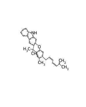 C=C(C)/C=C\C=C/Cc1cc2c(cc1C)C(C)(C)c1cc3c(cc1O2)[nH]c1ccccc13